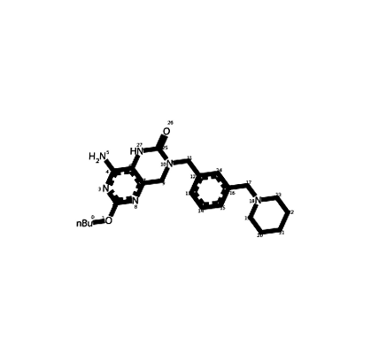 CCCCOc1nc(N)c2c(n1)CN(Cc1cccc(CN3CCCCC3)c1)C(=O)N2